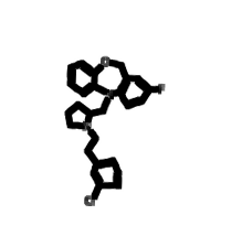 Fc1ccc2c(c1)COc1ccccc1N2CC1CCCN1CCc1cccc(Cl)c1